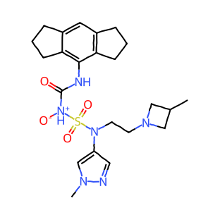 CC1CN(CCN(c2cnn(C)c2)S(=O)(=O)[NH+]([O-])C(=O)Nc2c3c(cc4c2CCC4)CCC3)C1